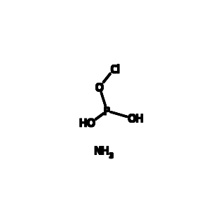 N.OP(O)OCl